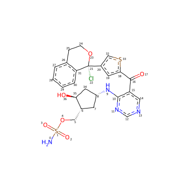 NS(=O)(=O)OC[C@H]1C[C@@H](Nc2ncncc2C(=O)c2cc([C@]3(Cl)OCCc4ccccc43)cs2)C[C@@H]1O